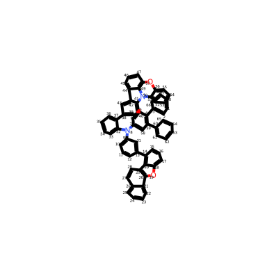 c1ccc(-c2ccc(N(c3cccc(-c4cccc5oc6c7ccccc7ccc6c45)c3)c3ccccc3-c3ccc4c(c3)c3cccc5c3n4-c3ccccc3O5)cc2-c2ccccc2)cc1